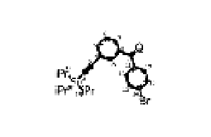 CC(C)[Si](C#Cc1cccc(C(=O)c2ccc(Br)cc2)c1)(C(C)C)C(C)C